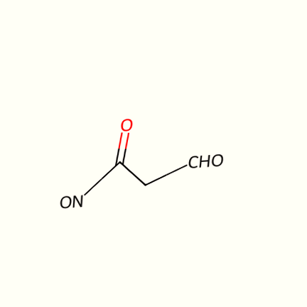 O=CCC(=O)N=O